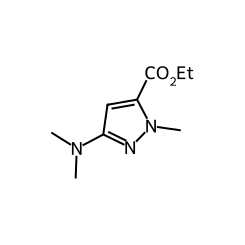 CCOC(=O)c1cc(N(C)C)nn1C